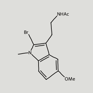 COc1ccc2c(c1)c(CCNC(C)=O)c(Br)n2C